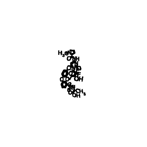 C[C@H](/N=[P+](\[O-])Oc1cccc(Oc2ccc(Cl)cc2)c1OC[C@H]1OC(n2ccc(NC(=O)[C@@H]3CCCN3C)nc2=O)C(F)(F)[C@@H]1O)C(=O)O